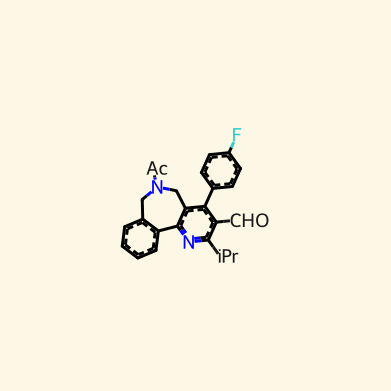 CC(=O)N1Cc2ccccc2-c2nc(C(C)C)c(C=O)c(-c3ccc(F)cc3)c2C1